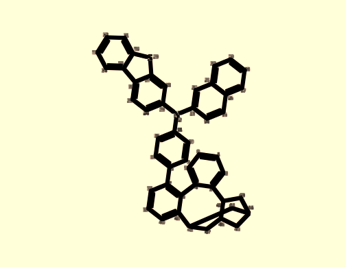 c1ccc2c(c1)-c1c(-c3ccc(N(c4ccc5ccccc5c4)c4ccc5c(c4)sc4ccccc45)cc3)cccc1C1CC3CC(C1)C2C3